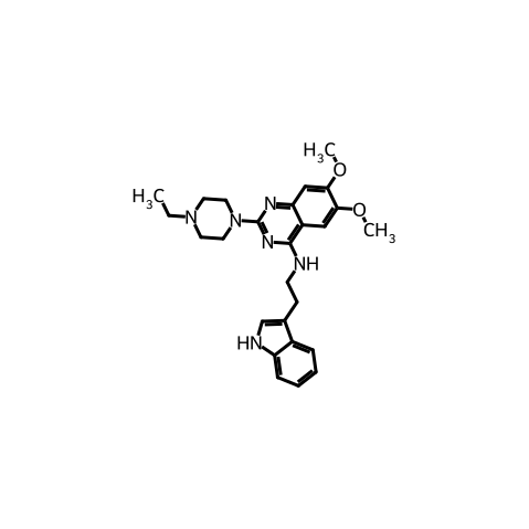 CCN1CCN(c2nc(NCCc3c[nH]c4ccccc34)c3cc(OC)c(OC)cc3n2)CC1